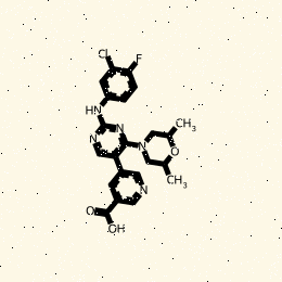 CC1CN(c2nc(Nc3ccc(F)c(Cl)c3)ncc2-c2cncc(C(=O)O)c2)CC(C)O1